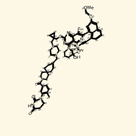 COCOc1cc(-c2ncc3c(N4CCC[C@@](C)(O)C4)nc(OCC4(CN5CCN(CC6CCC7(CC6)CCN(C(=O)c6ccc(C)c(N8CCC(=O)NC8=O)c6)CC7)CC5)CC4)nc3c2F)c2c(C#C[Si](C(C)C)(C(C)C)C(C)C)cccc2c1